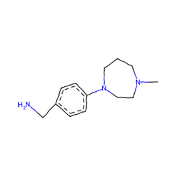 CN1CCCN(c2ccc(CN)cc2)CC1